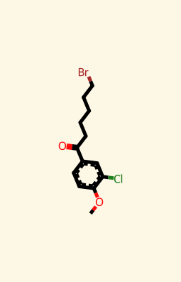 COc1ccc(C(=O)CCCCCBr)cc1Cl